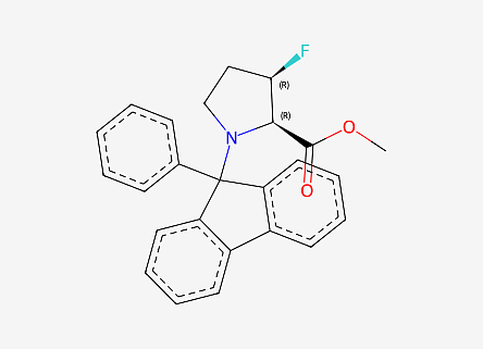 COC(=O)[C@@H]1[C@H](F)CCN1C1(c2ccccc2)c2ccccc2-c2ccccc21